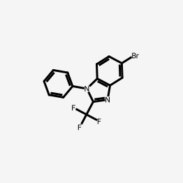 FC(F)(F)c1nc2cc(Br)ccc2n1-c1ccccc1